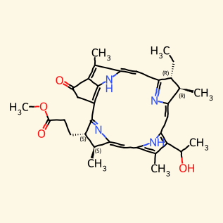 CC[C@H]1c2cc3[nH]c4c(c5nc(cc6[nH]c(cc(n2)[C@@H]1C)c(C(C)O)c6C)[C@@H](C)[C@@H]5CCC(=O)OC)CC(=O)c4c3C